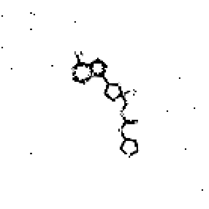 N#C[C@@]1(COC(=O)OC2CCOC2)CCC(c2ccc3c(N)ncnn23)O1